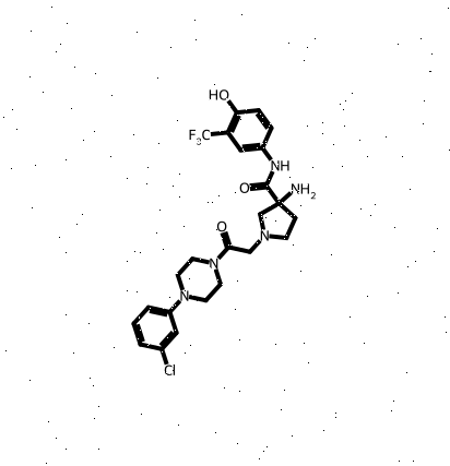 NC1(C(=O)Nc2ccc(O)c(C(F)(F)F)c2)CCN(CC(=O)N2CCN(c3cccc(Cl)c3)CC2)C1